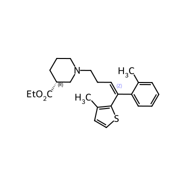 CCOC(=O)[C@@H]1CCCN(CC/C=C(/c2ccccc2C)c2sccc2C)C1